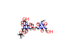 CCn1c(=O)n(CCO)c(=O)n(CCOC(=O)Cn2c(=O)n(CC(=O)O)c(=O)n(CC(=O)OC(C)(C)C)c2=O)c1=O